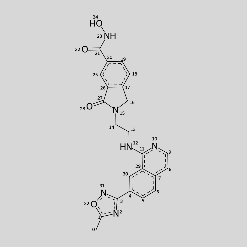 Cc1nc(-c2ccc3ccnc(NCCN4Cc5ccc(C(=O)NO)cc5C4=O)c3c2)no1